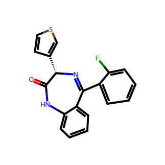 O=C1Nc2ccccc2C(c2ccccc2F)=N[C@H]1c1ccsc1